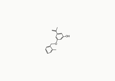 C=C(C)c1cc(O)cc(OCc2ccccc2C)c1